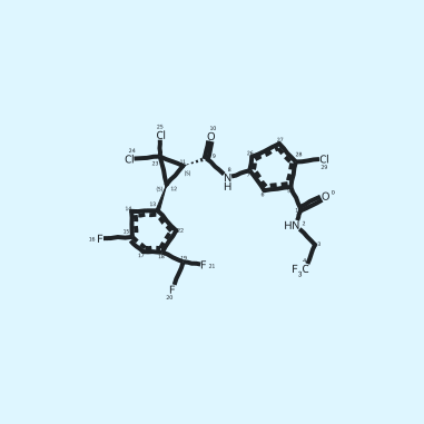 O=C(NCC(F)(F)F)c1cc(NC(=O)[C@@H]2[C@@H](c3cc(F)cc(C(F)F)c3)C2(Cl)Cl)ccc1Cl